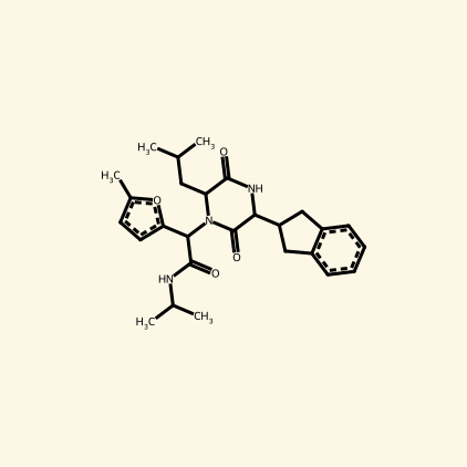 Cc1ccc(C(C(=O)NC(C)C)N2C(=O)C(C3Cc4ccccc4C3)NC(=O)C2CC(C)C)o1